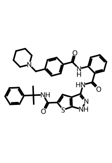 CC(C)(NC(=O)c1cc2c(NC(=O)c3ccccc3NC(=O)c3ccc(CN4CCCCC4)cc3)n[nH]c2s1)c1ccccc1